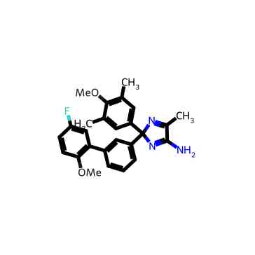 COc1ccc(F)cc1-c1cccc(C2(c3cc(C)c(OC)c(C)c3)N=C(C)C(N)=N2)c1